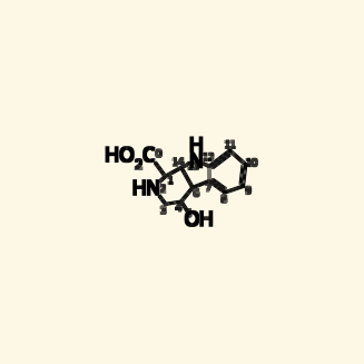 O=C(O)C1NCC(O)C2c3ccccc3NC12